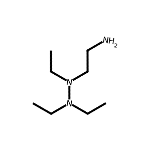 CCN(CC)N(CC)CCN